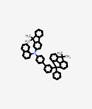 CC1(C)c2ccccc2-c2ccc(N(c3ccc(-c4cccc(C5(c6ccccc6)c6cccc7c6-c6c(cccc65)C7(C)C)c4)cc3)c3cccc4ccccc34)cc21